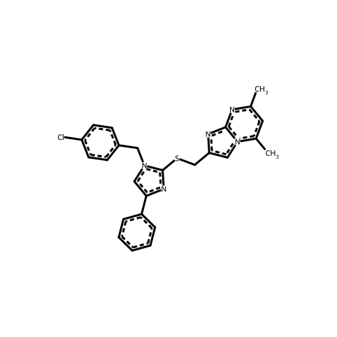 Cc1cc(C)n2cc(CSc3nc(-c4ccccc4)cn3Cc3ccc(Cl)cc3)nc2n1